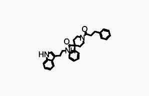 O=C(CCc1ccccc1)N1CCC(C(=O)NCCc2c[nH]c3ccccc23)(c2ccccc2)CC1